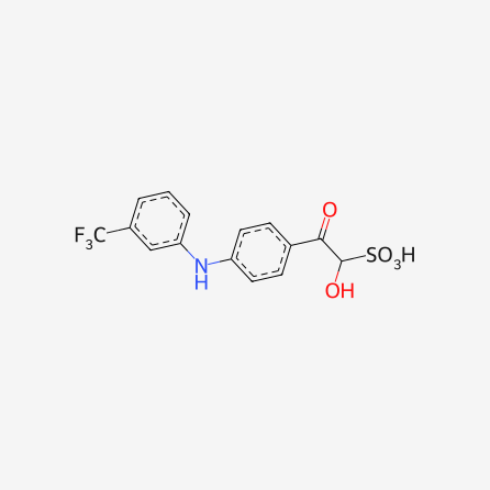 O=C(c1ccc(Nc2cccc(C(F)(F)F)c2)cc1)C(O)S(=O)(=O)O